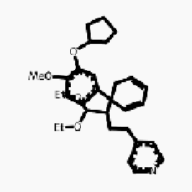 CCOC(OCC)C(CCc1ccncc1)C1(c2ccc(OC)c(OC3CCCC3)c2)C=CC=CC1